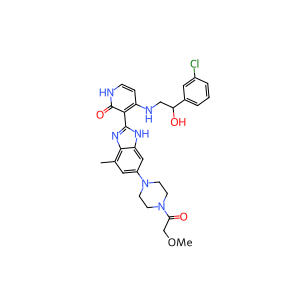 COCC(=O)N1CCN(c2cc(C)c3nc(-c4c(NCC(O)c5cccc(Cl)c5)cc[nH]c4=O)[nH]c3c2)CC1